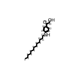 CCCCCCCCCCCCCNc1ccc(C(=O)CO)cc1